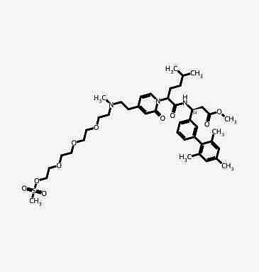 COC(=O)C[C@H](NC(=O)C(CCC(C)C)n1ccc(CCN(C)CCOCCOCCOCCOS(C)(=O)=O)cc1=O)c1cccc(-c2c(C)cc(C)cc2C)c1